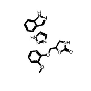 COc1ccccc1OCC1CNC(=O)O1.c1c[nH]nn1.c1ccc2[nH]ncc2c1